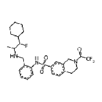 CC(NCc1ccccc1NS(=O)(=O)c1ccc2c(c1)CN(C(=O)C(F)(F)F)CC2)C(F)C1CCCCC1